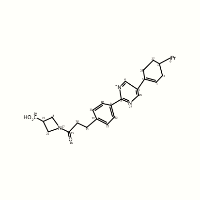 CC(C)C1CC=C(c2cnc(-c3ccc(CCC(=O)N4CC(C(=O)O)C4)cc3)nc2)CC1